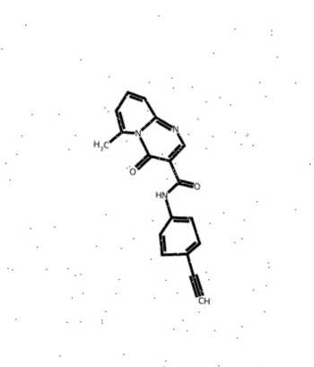 C#Cc1ccc(NC(=O)c2cnc3cccc(C)n3c2=O)cc1